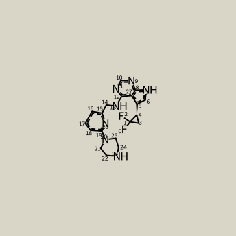 FC1(F)C[C@@H]1c1c[nH]c2ncnc(NCc3cccc(N4CCNCC4)n3)c12